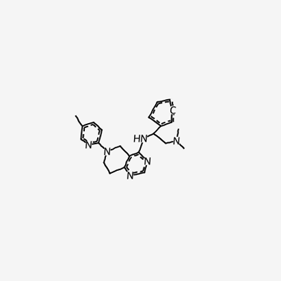 Cc1ccc(N2CCc3ncnc(NC(CN(C)C)c4ccccc4)c3C2)nc1